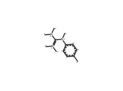 Cc1ccc(N(C)C(N(C)C)=[N+](C)C)cc1